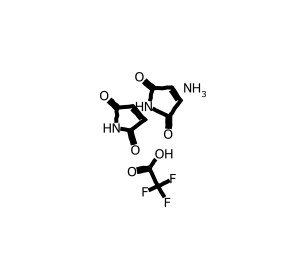 N.O=C(O)C(F)(F)F.O=C1C=CC(=O)N1.O=C1C=CC(=O)N1